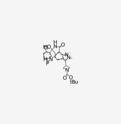 Cn1nc2c3c(c(N)cc2c1C1CN(C(=O)OC(C)(C)C)C1)C(O)(c1cc(F)ccc1Cl)NC3=O